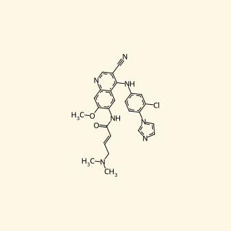 COc1cc2ncc(C#N)c(Nc3ccc(-n4ccnc4)c(Cl)c3)c2cc1NC(=O)/C=C/CN(C)C